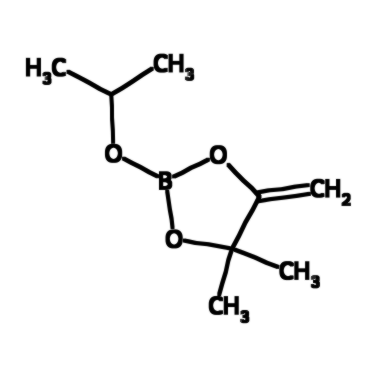 C=C1OB(OC(C)C)OC1(C)C